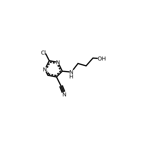 N#Cc1cnc(Cl)nc1NCCCO